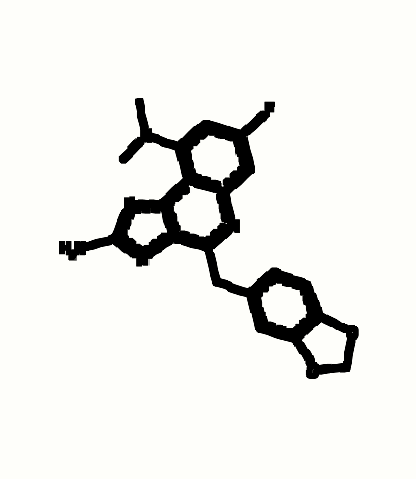 CN(C)c1cc(F)cc2nc(Cc3ccc4c(c3)OCO4)n3nc(N)nc3c12